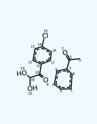 CC(=O)c1ccccc1.O=C(c1ccc(Cl)cc1)C(O)O